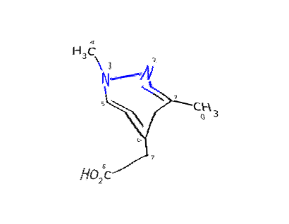 Cc1nn(C)cc1CC(=O)O